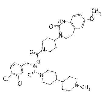 COc1ccc2c(c1)CCN(C1CCN(C(=O)O[C@H](Cc3ccc(Cl)c(Cl)c3)C(=O)N3CCC(C4CCN(C)CC4)CC3)CC1)C(=O)N2